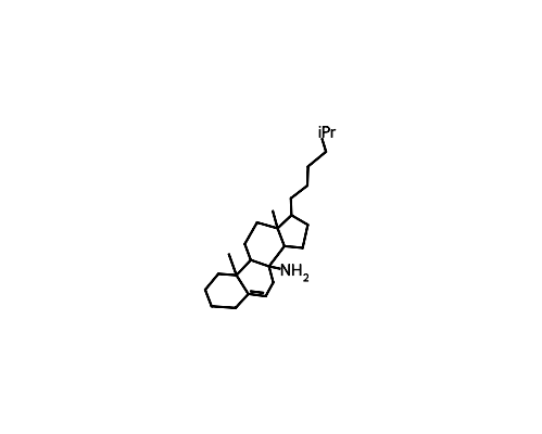 CC(C)CCCCC1CCC2C1(C)CCC1C3(C)CCCCC3=CCC12N